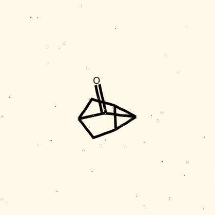 O=C1C2[CH]C3C(C2)C13